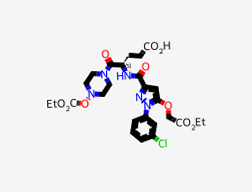 CCOC(=O)COc1cc(C(=O)N[C@@H](CCC(=O)O)C(=O)N2CCN(OC(=O)OCC)CC2)nn1-c1cccc(Cl)c1